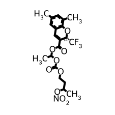 Cc1cc(C)c2c(c1)C=C(C(=O)OC(C)OC(=O)OCCC(C)O[N+](=O)[O-])[C@@H](C(F)(F)F)O2